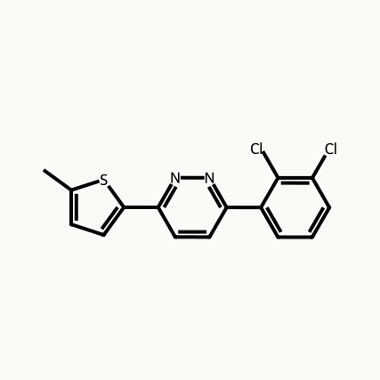 Cc1ccc(-c2ccc(-c3cccc(Cl)c3Cl)nn2)s1